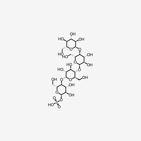 O=S(=O)(O)O[C@H]1O[C@H](CO)[C@@H](O[C@H]2O[C@H](CO)[C@@H](O[C@H]3O[C@H](CO)[C@@H](O[C@H]4O[C@H](CO)[C@@H](O)[C@H](O)[C@H]4O)[C@H](O)[C@H]3O)[C@H](O)[C@H]2O)[C@H](O)[C@H]1O